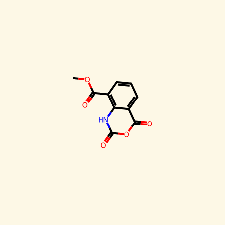 COC(=O)c1cccc2c(=O)oc(=O)[nH]c12